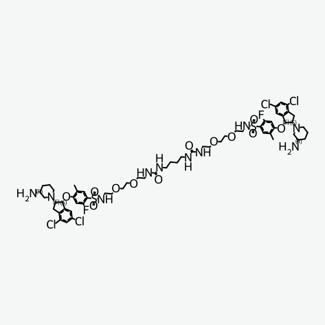 Cc1cc(S(=O)(=O)NCCOCCOCCNC(=O)NCCCCNC(=O)NCCOCCOCCNS(=O)(=O)c2cc(C)c(O[C@H]3c4cc(Cl)cc(Cl)c4C[C@@H]3N3CCC[C@@H](N)C3)cc2F)c(F)cc1O[C@H]1c2cc(Cl)cc(Cl)c2C[C@@H]1N1CCC[C@@H](N)C1